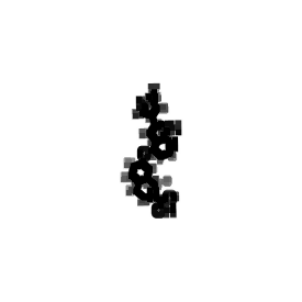 C[C@H]1c2cc(Oc3ccnc4[nH]c(-c5cnn(C)c5)cc34)ccc2CCN1C(=O)O